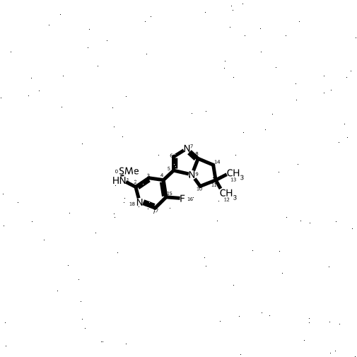 CSNc1cc(-c2cnc3n2CC(C)(C)C3)c(F)cn1